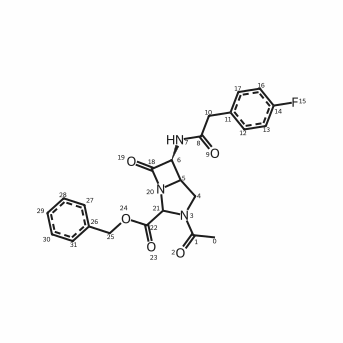 CC(=O)N1CC2[C@H](NC(=O)Cc3ccc(F)cc3)C(=O)N2C1C(=O)OCc1ccccc1